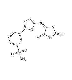 NS(=O)(=O)c1cccc(-c2ccc(C=C3SC(=S)[N]C3=O)o2)c1